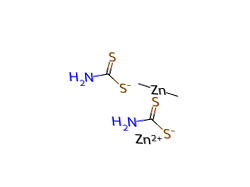 NC(=S)[S-].NC(=S)[S-].[CH3][Zn][CH3].[Zn+2]